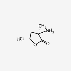 C[C@@]1(N)CCOC1=O.Cl